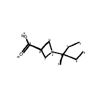 CCC(C)(CC)N1CC(C(=O)O)C1